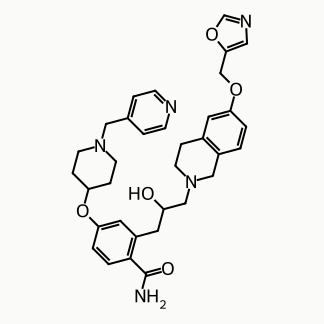 NC(=O)c1ccc(OC2CCN(Cc3ccncc3)CC2)cc1CC(O)CN1CCc2cc(OCc3cnco3)ccc2C1